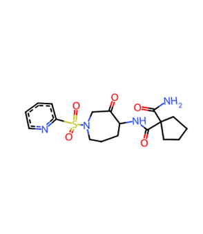 NC(=O)C1(C(=O)NC2CCCN(S(=O)(=O)c3ccccn3)CC2=O)CCCC1